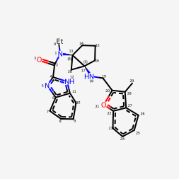 CCN(C(=O)c1nc2ccccc2[nH]1)[C@@]12CCC[C@]1(NCc1oc3ccccc3c1C)C2